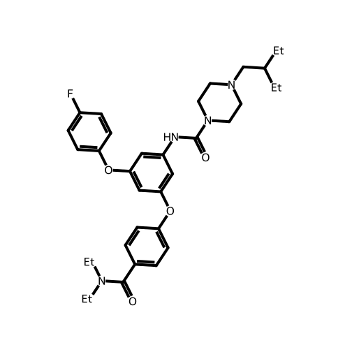 CCC(CC)CN1CCN(C(=O)Nc2cc(Oc3ccc(F)cc3)cc(Oc3ccc(C(=O)N(CC)CC)cc3)c2)CC1